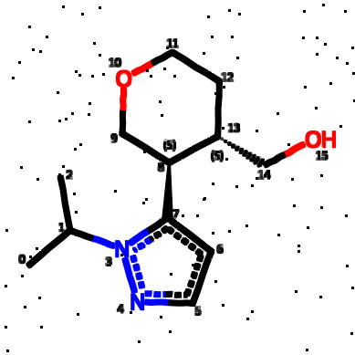 CC(C)n1nccc1[C@H]1COCC[C@@H]1CO